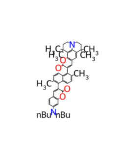 CCCCN(CCCC)c1ccc2cc(-c3c(C)ccc4c(-c5cc6cc7c8c(c6oc5=O)C(C)(C)CCN8CCC7(C)C)c(C)ccc34)c(=O)oc2c1